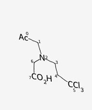 CC(=O)CN(CCC(Cl)(Cl)Cl)CC(=O)O